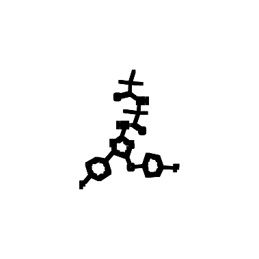 CC(C)(C)C(=O)NC(C)(C)C(=O)Nc1nc(-c2ccc(F)cc2)c(Oc2ccc(F)cc2)s1